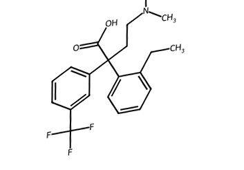 CCc1ccccc1C(CCN(C)C)(C(=O)O)c1cccc(C(F)(F)F)c1